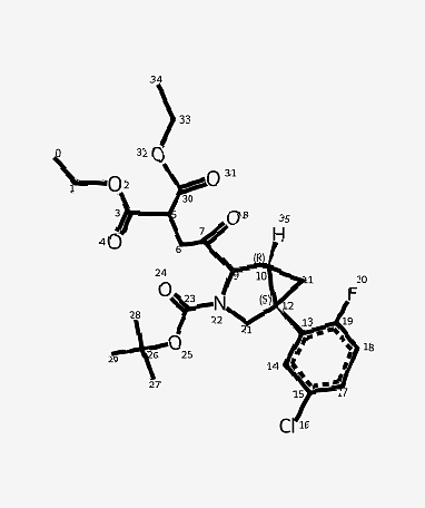 CCOC(=O)C(CC(=O)C1[C@@H]2C[C@]2(c2cc(Cl)ccc2F)CN1C(=O)OC(C)(C)C)C(=O)OCC